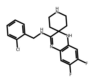 Fc1cc2c(cc1F)NC1(CCNCC1)C(NCc1ccccc1Cl)=N2